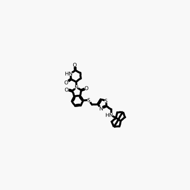 O=C1CCC(N2C(=O)c3cccc(SCc4csc(CNC56CC7CC5CC7C6)n4)c3C2=O)C(=O)N1